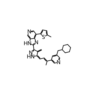 C=c1c(-c2nc3c(-c4ccc(C)s4)cncc3[nH]2)n[nH]/c1=C/C=C(\C)c1cncc(CC2CCCCC2)c1